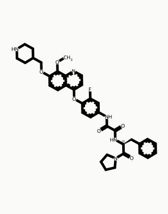 COc1c(OCC2CCNCC2)ccc2c(Oc3ccc(NC(=O)C(=O)N[C@@H](Cc4ccccc4)C(=O)N4CCCC4)cc3F)ccnc12